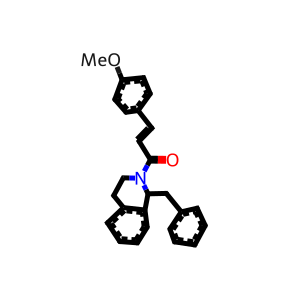 COc1ccc(C=CC(=O)N2CCc3ccccc3C2Cc2ccccc2)cc1